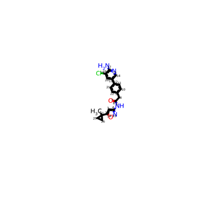 CC1(c2cc(NC(=O)Cc3ccc(-c4cnc(N)c(Cl)c4)cc3)no2)CC1